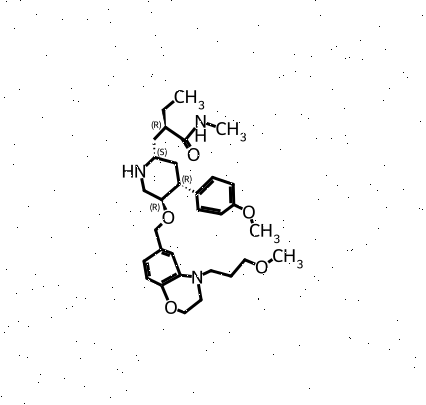 CC[C@H](C[C@@H]1C[C@H](c2ccc(OC)cc2)[C@@H](OCc2ccc3c(c2)N(CCCOC)CCO3)CN1)C(=O)NC